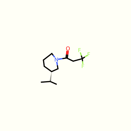 CC(C)[C@@H]1CCCN(C(=O)CC(F)(F)F)C1